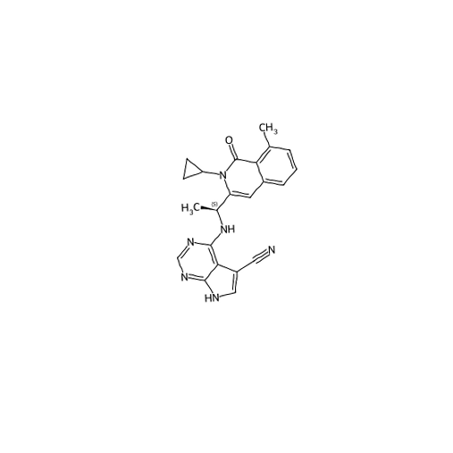 Cc1cccc2cc([C@H](C)Nc3ncnc4[nH]cc(C#N)c34)n(C3CC3)c(=O)c12